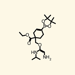 CCOC(=O)C1(CO/C(=C/N)NC(C)C)CC=C(B2OC(C)(C)C(C)(C)O2)CC1